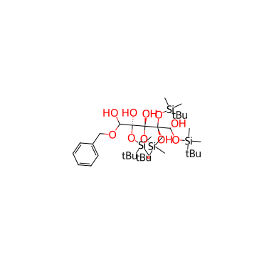 CC(C)(C)[Si](C)(C)OC(O)[C@@](O)(O[Si](C)(C)C(C)(C)C)[C@](O)(O[Si](C)(C)C(C)(C)C)[C@@](O)(O[Si](C)(C)C(C)(C)C)C(O)OCc1ccccc1